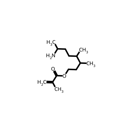 C=C(C)C(=O)OCCC(C)C(C)CCC(C)N